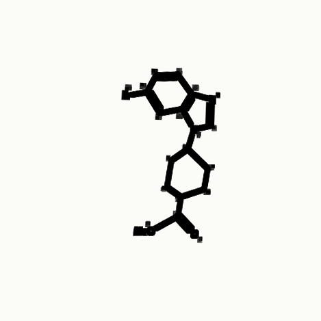 COC(=O)C1CCC(n2cnc3ccc(Br)cc32)CC1